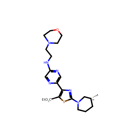 CCOC(=O)c1sc(N2CCC[C@@H](C)C2)nc1-c1cnc(NCCN2CCOCC2)cn1